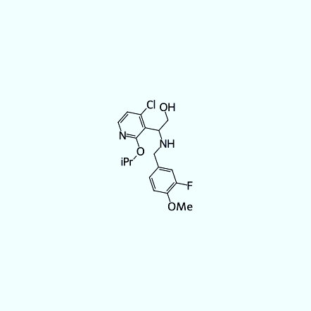 COc1ccc(CNC(CO)c2c(Cl)ccnc2OC(C)C)cc1F